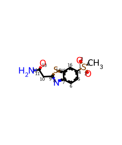 CS(=O)(=O)c1ccc2nc(CC(N)=O)sc2c1